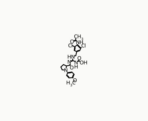 COc1ccc(N2CCCC2C(=O)/N=C(/NCc2cc(Cl)c(NC(C)=O)c(Cl)c2)NC(=O)O)cc1